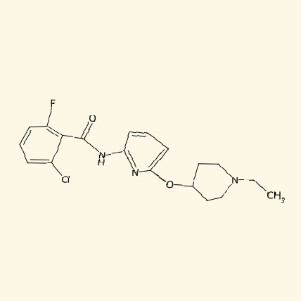 CCN1CCC(Oc2cccc(NC(=O)c3c(F)cccc3Cl)n2)CC1